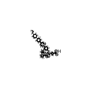 CCC[C@H]1CC[C@H](c2ccc(-c3cnc(-c4ccc(C[C@H](NC(=O)C5=CC=C[SH]5C(C)(C)C)C(=O)N5CC(C(=O)O)C5)cc4)nc3)cc2)CC1